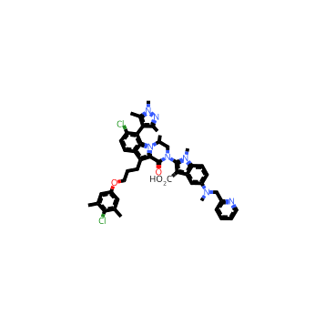 Cc1cc(OCCCc2c3n(c4c(-c5c(C)nn(C)c5C)c(Cl)ccc24)C(C)CN(c2c(C(=O)O)c4cc(N(C)Cc5ccccn5)ccc4n2C)C3=O)cc(C)c1Cl